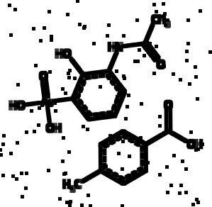 CC(=O)Nc1cccc([As](=O)(O)O)c1O.Cc1ccc(C(=O)O)cc1